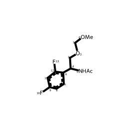 COCOCC(NC(C)=O)c1ccc(F)cc1F